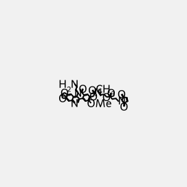 COc1cc2c(cc1OC(=O)N(C)CCOC(=O)CCCN1C(=O)C=CC1=O)c(=O)n(CCN)c1c3cc4c(cc3ncc21)OCO4